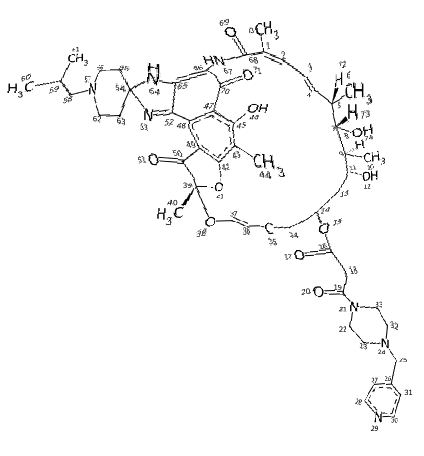 C/C1=C/C=C/[C@H](C)[C@H](O)[C@@H](C)C(O)CC(OC(=O)CC(=O)N2CCN(Cc3ccncc3)CC2)CC/C=C/O[C@@]2(C)Oc3c(C)c(O)c4c(c3C2=O)C2=NC3(CCN(CC(C)C)CC3)NC2=C(NC1=O)C4=O